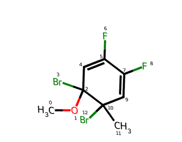 COC1(Br)C=C(F)C(F)=CC1(C)Br